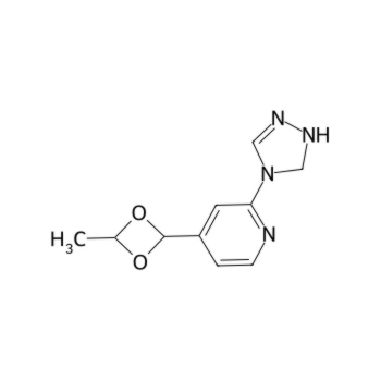 CC1OC(c2ccnc(N3C=NNC3)c2)O1